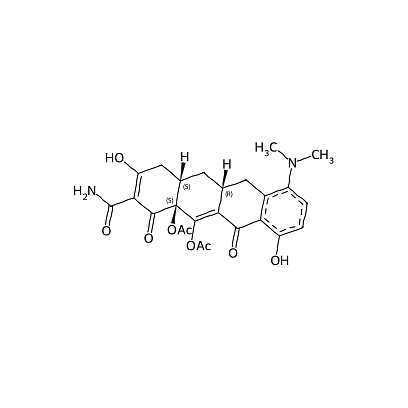 CC(=O)OC1=C2C(=O)c3c(O)ccc(N(C)C)c3C[C@H]2C[C@H]2CC(O)=C(C(N)=O)C(=O)[C@@]12OC(C)=O